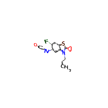 C=CCn1c(=O)sc2cc(F)c(N=C=O)cc21